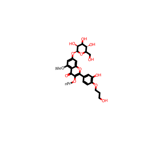 CCCOc1c(-c2ccc(OCCCO)c(O)c2)oc2cc(O[C@@H]3OC(CO)[C@@H](O)C(O)[C@@H]3O)cc(OC)c2c1=O